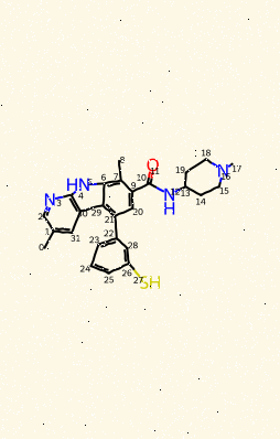 Cc1cnc2[nH]c3c(C)c(C(=O)NC4CCN(C)CC4)cc(-c4cccc(S)c4)c3c2c1